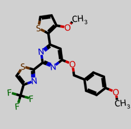 COc1ccc(COc2cc(-c3sccc3OC)nc(-c3nc(C(F)(F)F)cs3)n2)cc1